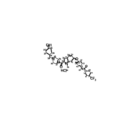 CN(C(=O)c1ccc(C(F)(F)F)cc1)c1ccc(Oc2ccc3cc(C(=O)N4CCN(Cc5ccc(O)cc5)CC4)n(C)c3c2)nc1.Cl